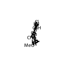 COc1cnc2c(-c3nc4c(Cl)cc5c(c4s3)OC[C@H](COC(=O)Nc3cnc(Cl)nc3)O5)cc(C)cc2n1